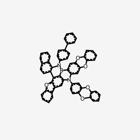 c1ccc(-c2ccc(N3B4c5cc6c(cc5N(c5ccc7c(c5)Oc5ccccc5O7)c5cc7c(oc8ccccc87)c(c54)-c4ccc5ccccc5c43)Oc3ccccc3O6)cc2)cc1